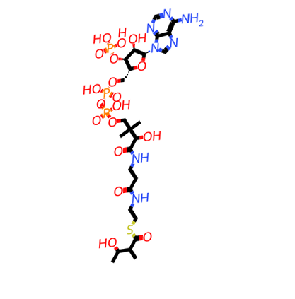 CC(O)C(C)C(=O)SCCNC(=O)CCNC(=O)C(O)C(C)(C)COP(=O)(O)OP(=O)(O)OC[C@H]1O[C@@H](n2cnc3c(N)ncnc32)[C@H](O)[C@@H]1OP(=O)(O)O